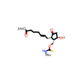 CCCCNC(=S)OC[C@H]1[C@H](O)CC(=O)[C@@H]1CC=CCCCC(=O)OC